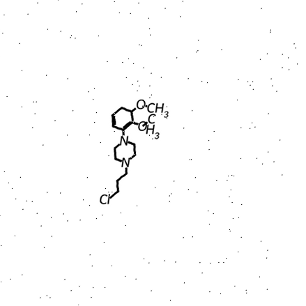 COC1=C(N2CCN(CCCCl)CC2)C=CCC1OC